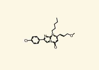 CCCCCn1c(/C=C/COC)cc(=O)n2cc(-c3ccc(Cl)cc3)nc12